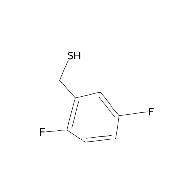 Fc1ccc(F)c(CS)c1